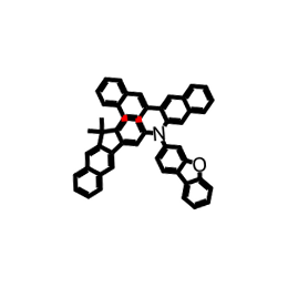 CC1(C)c2ccc(N(c3ccc4c(c3)oc3ccccc34)c3cc4ccccc4cc3-c3ccc4ccccc4c3)cc2-c2cc3ccccc3cc21